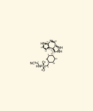 N#CCNS(=O)(=O)C[C@H]1CC[C@H](C2=C3c4cc[nH]c4N=CN3NN2)CC1